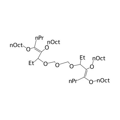 CCCCCCCCOC(CCC)=C(OCCCCCCCC)C(CC)OCOCOC(CC)C(OCCCCCCCC)=C(CCC)OCCCCCCCC